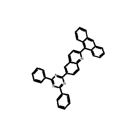 c1ccc(-c2nc(-c3ccccc3)nc(-c3ccc4nc(-c5c6ccccc6cc6ccccc56)ccc4c3)n2)cc1